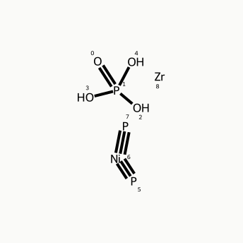 O=P(O)(O)O.[P]#[Ni]#[P].[Zr]